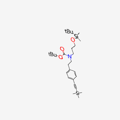 CC(C)(C)OC(=O)N(CCCO[Si](C)(C)C(C)(C)C)CCc1ccc(C#C[Si](C)(C)C)cc1